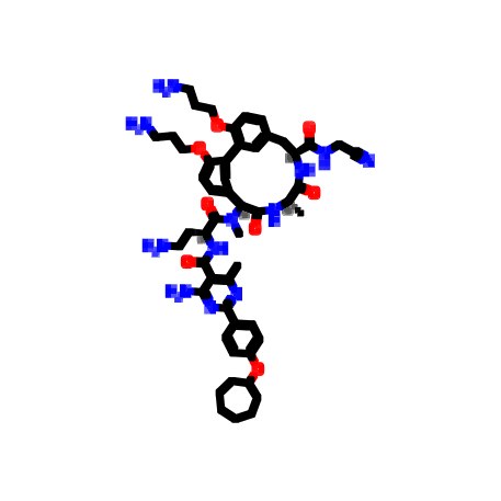 Cc1nc(-c2ccc(OC3CCCCCC3)cc2)nc(N)c1C(=O)N[C@@H](CCN)C(=O)N(C)[C@@H]1C(=O)N[C@@H](C)C(=O)N[C@H](C(=O)NCC#N)Cc2ccc(OCCCN)c(c2)-c2cc1ccc2OCCCN